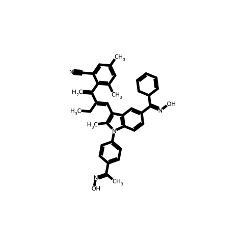 C=C(/C(=C/c1c(C)n(-c2ccc(/C(C)=N/O)cc2)c2ccc(/C(=N/O)C3C=CC=CC3)cc12)CC)c1c(C)cc(C)cc1C#N